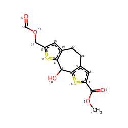 COC(=O)c1cc2c(s1)C(O)c1sc(COC=O)cc1CC2